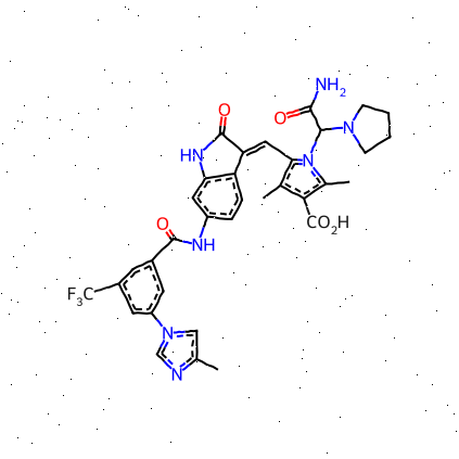 Cc1cn(-c2cc(C(=O)Nc3ccc4c(c3)NC(=O)C4=Cc3c(C)c(C(=O)O)c(C)n3C(C(N)=O)N3CCCC3)cc(C(F)(F)F)c2)cn1